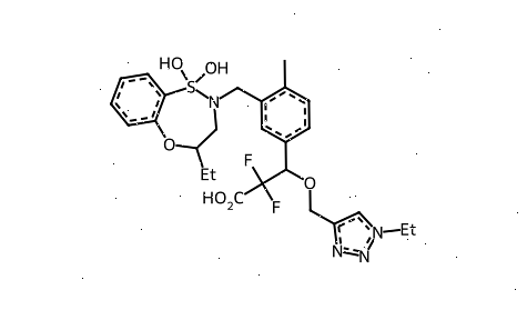 CCC1CN(Cc2cc(C(OCc3cn(CC)nn3)C(F)(F)C(=O)O)ccc2C)S(O)(O)c2ccccc2O1